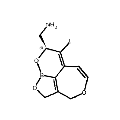 NC[C@@H]1OB2OCC3=C2C(=C1I)C=COC3